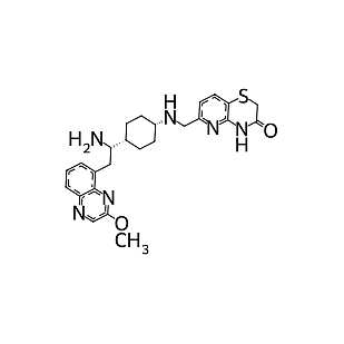 COc1cnc2cccc(CC(N)[C@H]3CC[C@@H](NCc4ccc5c(n4)NC(=O)CS5)CC3)c2n1